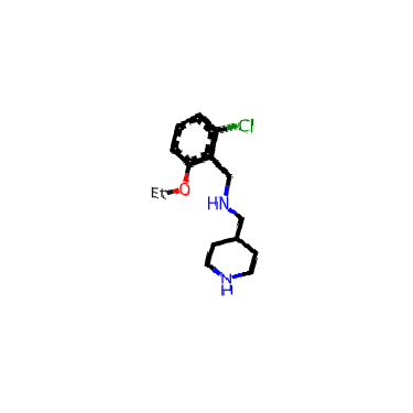 CCOc1cccc(Cl)c1CNCC1CCNCC1